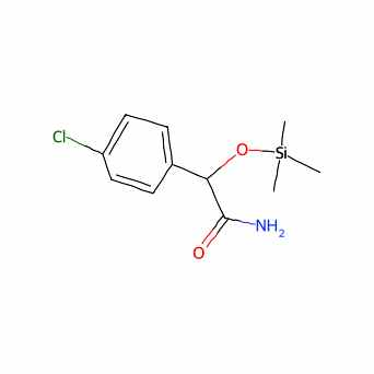 C[Si](C)(C)OC(C(N)=O)c1ccc(Cl)cc1